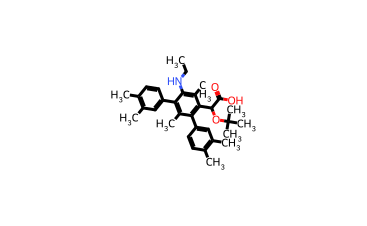 CCNc1c(C)c(C(OC(C)(C)C)C(=O)O)c(-c2ccc(C)c(C)c2)c(C)c1-c1ccc(C)c(C)c1